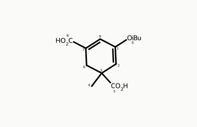 CC(C)COC1=CC(C)(C(=O)O)CC(C(=O)O)=C1